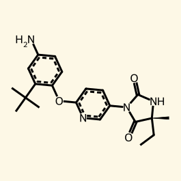 CC[C@@]1(C)NC(=O)N(c2ccc(Oc3ccc(N)cc3C(C)(C)C)nc2)C1=O